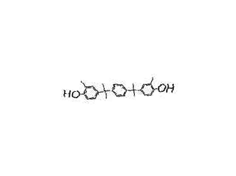 Cc1cc(C(C)(C)c2ccc(C(C)(C)c3ccc(O)c(C)c3)cc2)ccc1O